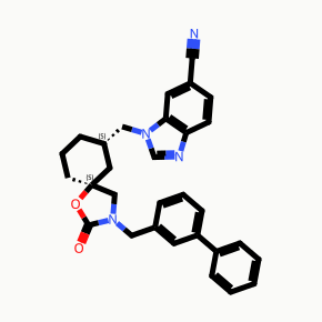 N#Cc1ccc2ncn(C[C@H]3CCC[C@]4(C3)CN(Cc3cccc(-c5ccccc5)c3)C(=O)O4)c2c1